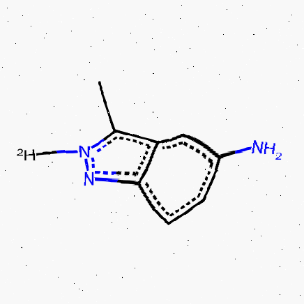 [2H]n1nc2ccc(N)cc2c1C